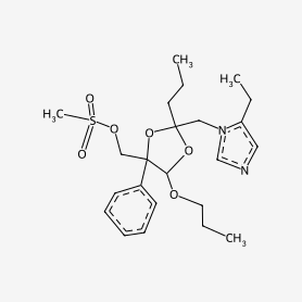 CCCOC1OC(CCC)(Cn2cncc2CC)OC1(COS(C)(=O)=O)c1ccccc1